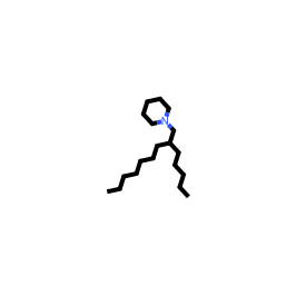 CCCCCCCC(CCCCC)CN1CCCCC1